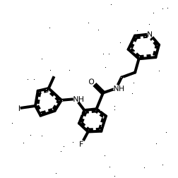 Cc1cc(I)ccc1Nc1cc(F)ccc1C(=O)NCCc1ccncc1